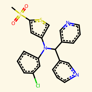 CS(=O)(=O)c1cc(N(c2cccc(Cl)c2)C(c2cccnc2)c2cccnc2)cs1